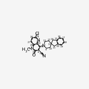 Cn1c(=O)c(C#N)c(N2CCC3(CC2)Cc2ccccc2C3)c2nc(Cl)ccc21